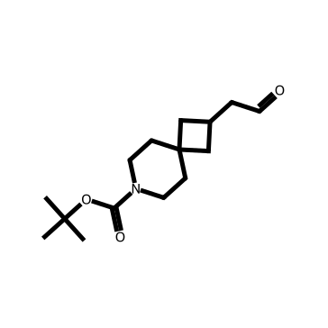 CC(C)(C)OC(=O)N1CCC2(CC1)CC(CC=O)C2